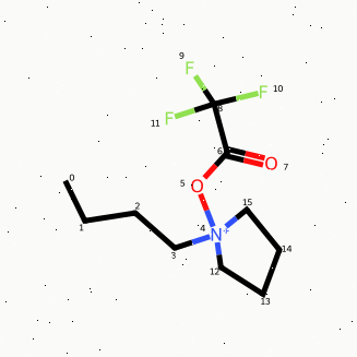 CCCC[N+]1(OC(=O)C(F)(F)F)CCCC1